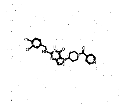 O=C(c1ccncc1)N1CCC(n2ncc3nc(NCc4ccc(Cl)c(Cl)c4)[nH]c(=O)c32)CC1